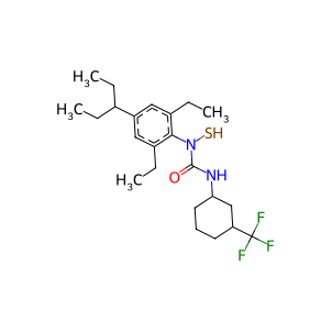 CCc1cc(C(CC)CC)cc(CC)c1N(S)C(=O)NC1CCCC(C(F)(F)F)C1